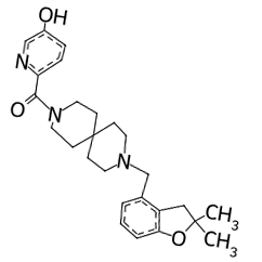 CC1(C)Cc2c(CN3CCC4(CC3)CCN(C(=O)c3ccc(O)cn3)CC4)cccc2O1